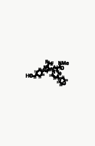 CNC(=O)c1cn(-c2cn(C3CCC(CO)CC3)nc2C(F)F)[n+]2ccc(N3CCOCC3)nc12